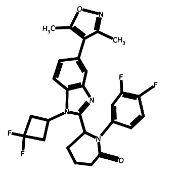 Cc1noc(C)c1-c1ccc2c(c1)nc(C1CCCC(=O)N1c1ccc(F)c(F)c1)n2C1CC(F)(F)C1